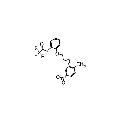 Cc1ccc([N+](=O)[O-])cc1OCCOc1ccccc1CC(=O)C(F)(F)F